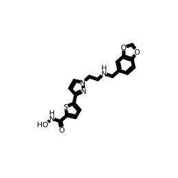 O=C(NO)c1ccc(-c2ccn(CCNCc3ccc4c(c3)OCO4)n2)s1